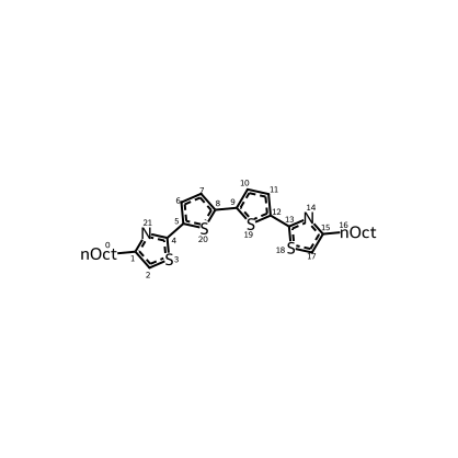 CCCCCCCCc1csc(-c2ccc(-c3ccc(-c4nc(CCCCCCCC)cs4)s3)s2)n1